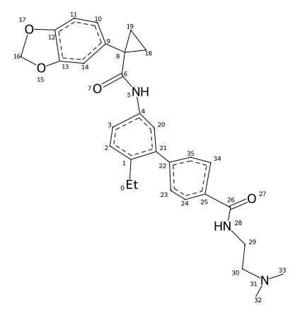 CCc1ccc(NC(=O)C2(c3ccc4c(c3)OCO4)CC2)cc1-c1ccc(C(=O)NCCN(C)C)cc1